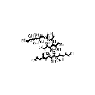 C1CNCCN1.OC(CBr)C(O)C(O)C(O)CBr.O[C@@H]([C@H](O)[C@H](O)CBr)[C@H](O)CBr.O[C@@H]([C@H](O)[C@H](O)CNCCCl)[C@H](O)CNCCCl